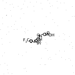 CC(C)[C@H]1c2ncc(C(=O)NCC3CCN(C(=O)CO)CC3)cc2CN1Cc1ccc(C(F)(F)F)cc1